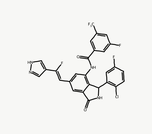 O=C(Nc1cc(C=C(F)c2cn[nH]c2)cc2c1C(c1cc(F)ccc1Cl)NC2=O)c1cc(F)cc(C(F)(F)F)c1